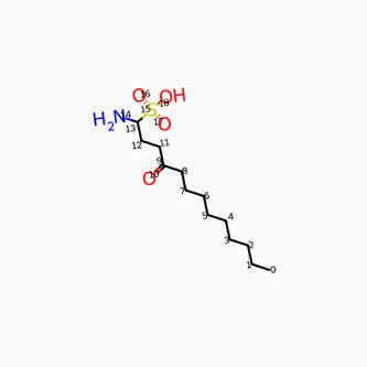 CCCCCCCCCC(=O)CCC(N)S(=O)(=O)O